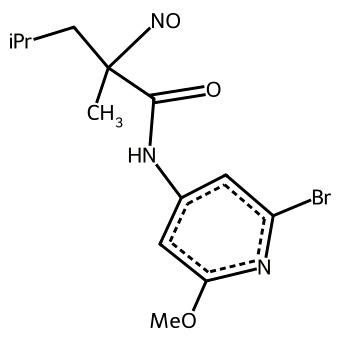 COc1cc(NC(=O)C(C)(CC(C)C)N=O)cc(Br)n1